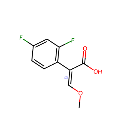 CO/C=C(\C(=O)O)c1ccc(F)cc1F